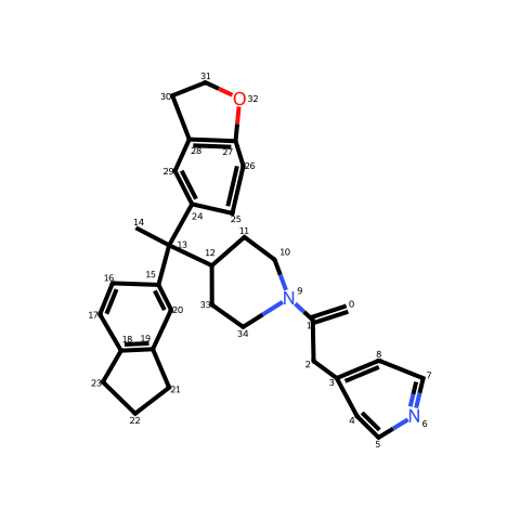 C=C(Cc1ccncc1)N1CCC(C(C)(c2ccc3c(c2)CCC3)c2ccc3c(c2)CCO3)CC1